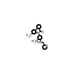 Nc1cc(NC(=O)c2ccccc2-c2ccc(C(F)(F)F)cc2)ccc1NCc1ccccn1